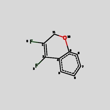 FC1=C(F)c2ccccc2OC1